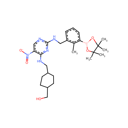 Cc1c(CNc2ncc([N+](=O)[O-])c(NCC3CCC(CO)CC3)n2)cccc1B1OC(C)(C)C(C)(C)O1